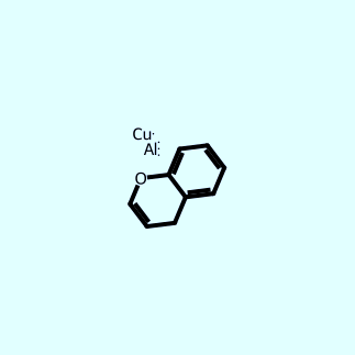 C1=COc2ccccc2C1.[Al].[Cu]